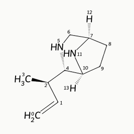 C=C[C@@H](C)[C@@H]1NC[C@H]2CC[C@@H]1N2